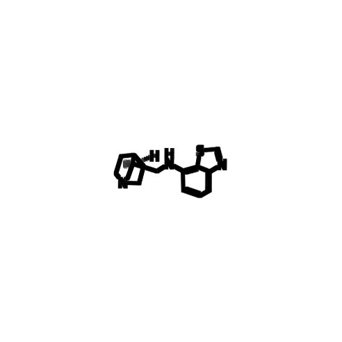 c1cc(NC[C@H]2CN3CCC2CC3)c2scnc2c1